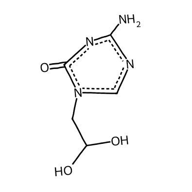 Nc1ncn(CC(O)O)c(=O)n1